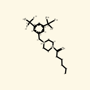 CCCCCC(=O)N1CCN(Cc2cc(C(F)(F)F)cc(C(F)(F)F)c2)CC1